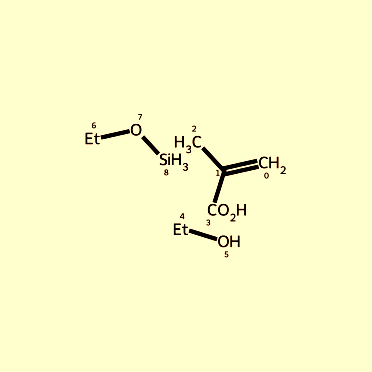 C=C(C)C(=O)O.CCO.CCO[SiH3]